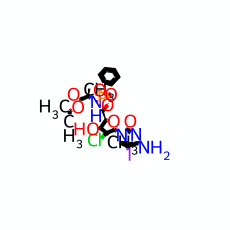 CC(C)OC(=O)[C@@H](C)N[P@@](=O)(OC[C@H]1OC(n2cc(I)c(N)nc2=O)[C@](C)(Cl)[C@@H]1O)Oc1ccccc1